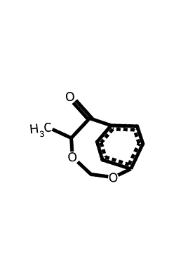 CC1OCOc2ccc(cc2)C1=O